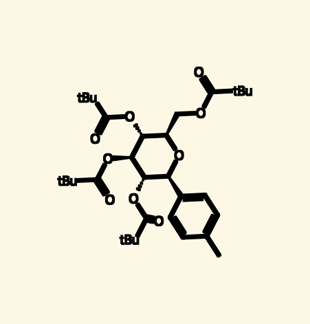 Cc1ccc([C@@H]2O[C@H](COC(=O)C(C)(C)C)[C@@H](OC(=O)C(C)(C)C)[C@H](OC(=O)C(C)(C)C)[C@H]2OC(=O)C(C)(C)C)cc1